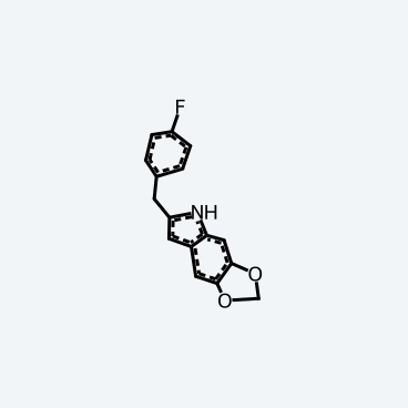 Fc1ccc(Cc2cc3cc4c(cc3[nH]2)OCO4)cc1